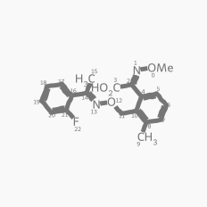 CO/N=C(/C(=O)O)c1cccc(C)c1CO/N=C(\C)c1ccccc1F